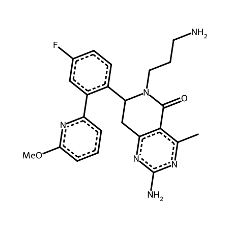 COc1cccc(-c2cc(F)ccc2C2Cc3nc(N)nc(C)c3C(=O)N2CCCN)n1